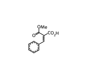 COC(=O)/C(=C\c1ccccc1)C(=O)O